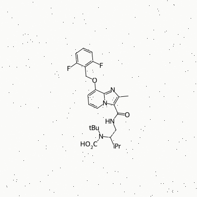 Cc1nc2c(OCc3c(F)cccc3F)cccn2c1C(=O)NCC(C(C)C)N(C(=O)O)C(C)(C)C